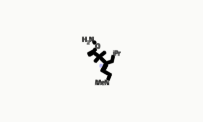 C=C(ON)C(C)(C)/C(=C/CNC)CC(C)C